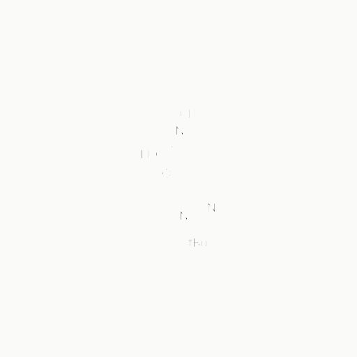 CN1CC(C)(COc2ccn3c(C(C)(C)C)cnc3c2)C1